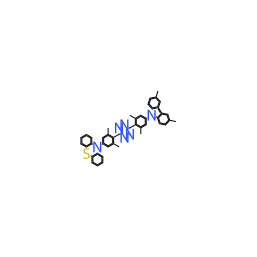 Cc1ccc2c(c1)c1cc(C)ccc1n2-c1cc(C)c(-c2nnc(-c3c(C)cc(N4c5ccccc5Sc5ccccc54)cc3C)nn2)c(C)c1